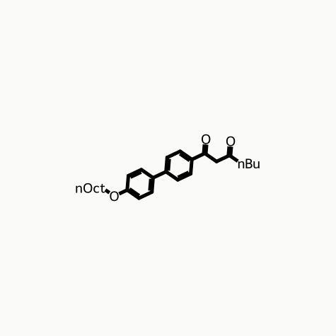 CCCCCCCCOc1ccc(-c2ccc(C(=O)CC(=O)CCCC)cc2)cc1